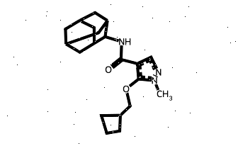 Cn1ncc(C(=O)NC2C3CC4CC(C3)CC2C4)c1OCC1CCC1